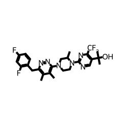 Cc1c(Cc2ccc(F)cc2F)nnc(N2CCN(c3ncc(C(C)(C)O)c(C(F)(F)F)n3)C(C)C2)c1C